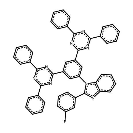 Fc1cccc(-c2nc3ccccc3n2-c2cc(-c3nc(-c4ccccc4)nc(-c4ccccc4)n3)cc(-c3nc(-c4ccccc4)nc(-c4ccccc4)n3)c2)c1